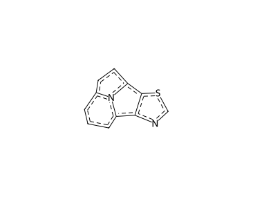 c1cc2ccc3c4scnc4c(c1)n23